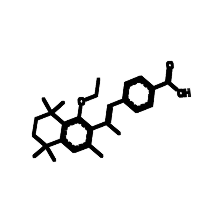 CCOc1c(/C(C)=C/c2ccc(C(=O)O)cc2)c(C)cc2c1C(C)(C)CCC2(C)C